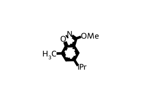 COc1noc2c(C)cc(C(C)C)cc12